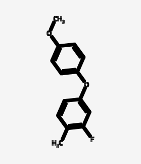 COc1ccc(Oc2ccc(C)c(F)c2)cc1